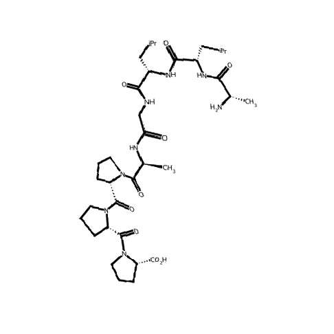 CC(C)C[C@H](NC(=O)[C@H](C)N)C(=O)N[C@@H](CC(C)C)C(=O)NCC(=O)N[C@@H](C)C(=O)N1CCC[C@H]1C(=O)N1CCC[C@H]1C(=O)N1CCC[C@H]1C(=O)O